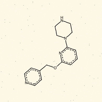 c1cc(OCc2ccncc2)nc(N2CCNCC2)c1